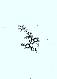 COc1ccc(Br)cc1CCc1c(Cl)cccc1C(=O)NC(=N)NCCCCN1CCCC1